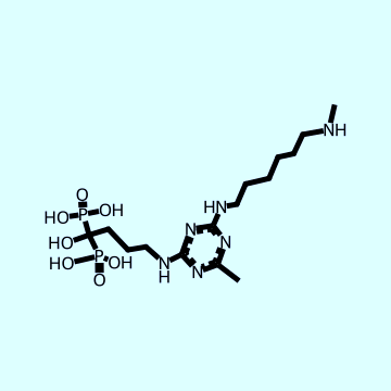 CNCCCCCCNc1nc(C)nc(NCCCC(O)(P(=O)(O)O)P(=O)(O)O)n1